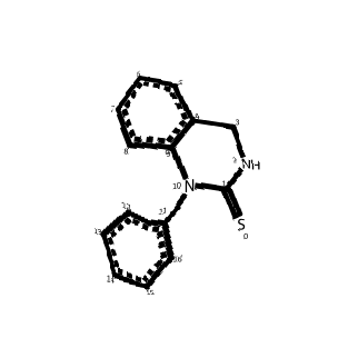 S=C1NCc2ccccc2N1c1ccccc1